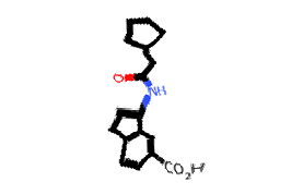 O=C(CC1CCCC1)NC1CCc2ccc(C(=O)O)cc21